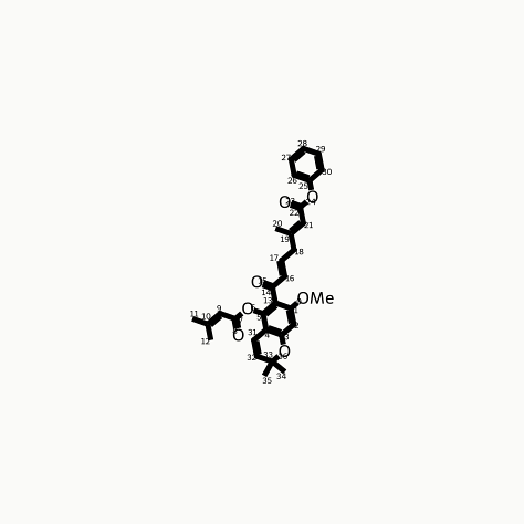 COc1cc2c(c(OC(=O)C=C(C)C)c1C(=O)C=CC/C(C)=C/C(=O)Oc1ccccc1)C=CC(C)(C)O2